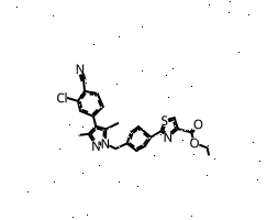 CCOC(=O)c1csc(-c2ccc(Cn3nc(C)c(-c4ccc(C#N)c(Cl)c4)c3C)cc2)n1